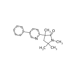 CN1C(=O)C(C)(c2ccc(-c3ccccc3)cn2)CC1(C)C